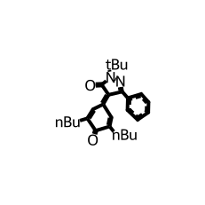 CCCCC1=CC(=C2C(=O)N(C(C)(C)C)N=C2c2ccccc2)C=C(CCCC)C1=O